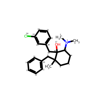 CN(C)C1CCCC(C)(Cc2ccccc2)C1(O)Cc1cccc(Cl)c1